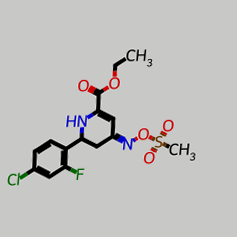 CCOC(=O)C1=C/C(=N\OS(C)(=O)=O)CC(c2ccc(Cl)cc2F)N1